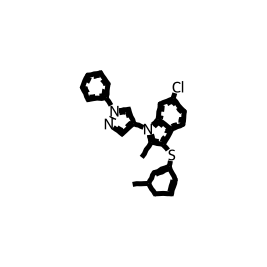 Cc1c(SC2=CC(C)CC=C2)c2ccc(Cl)cc2n1-c1cnn(-c2ccccc2)c1